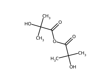 CC(C)(O)C(=O)OC(=O)C(C)(C)O